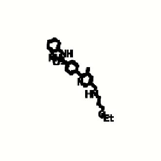 CCOCCCNCc1cnc(-c2ccc(C(=O)Nc3ccccc3N)cc2)c(C)c1